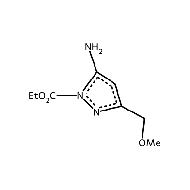 CCOC(=O)n1nc(COC)cc1N